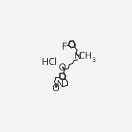 CN(CCCCCC(=O)c1cc2c3c(c1)CCC(=O)N3CCC2)CCc1cccc(F)c1.Cl